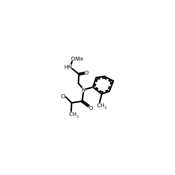 CONC(=O)CN(C(=O)C(C)Cl)c1ccccc1C